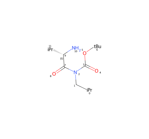 CC(C)CN(C(=O)OC(C)(C)C)C(=O)[C@@H](N)C(C)C